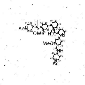 COc1cc(-c2nccc(-c3cccc(-c4ccc(CNC5CCN(C(C)=O)CC5)c(OC)n4)c3Cl)c2C)ccc1CNC1CCN(C(C)=O)CC1